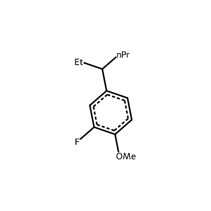 CCCC(CC)c1ccc(OC)c(F)c1